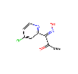 COC(=O)/C(=N/O)c1cc(Cl)ccn1